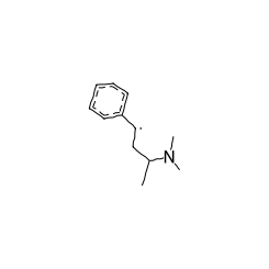 CC(C[CH]c1ccccc1)N(C)C